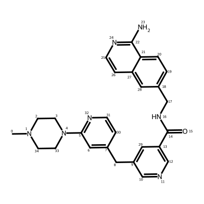 CN1CCN(c2cc(Cc3cncc(C(=O)NCc4ccc5c(N)nccc5c4)c3)ccn2)CC1